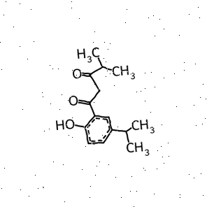 CC(C)C(=O)CC(=O)c1cc(C(C)C)ccc1O